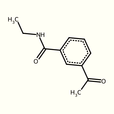 CCNC(=O)c1cccc(C(C)=O)c1